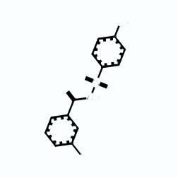 CC(C)c1cccc(C(=O)NS(=O)(=O)c2ccc(C(C)(C)C)cc2)c1